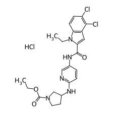 CCOC(=O)N1CCC(Nc2ccc(NC(=O)c3cc4c(Cl)c(Cl)ccc4n3CC)cn2)C1.Cl